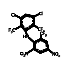 O=[N+]([O-])c1cc([N+](=O)[O-])c(Nc2c(C(F)(F)F)c(Cl)cc(Cl)c2C(F)(F)F)c(C(F)(F)F)c1